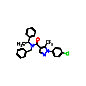 CC(c1ccccc1)N(Cc1ccccc1)C(=O)c1cnn(-c2ccc(Cl)cc2)c1C(F)(F)F